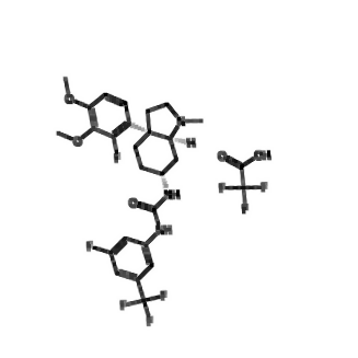 COc1ccc([C@@]23CC[C@@H](NC(=O)Nc4cc(F)cc(C(F)(F)F)c4)C[C@@H]2N(C)CC3)c(F)c1OC.O=C(O)C(F)(F)F